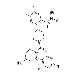 CC(=O)N(C(C)C)[C@@H](C)c1cc(C)c(C)cc1C1CCN(C(=O)[C@@H]2CCN(C(C)(C)C)C[C@H]2c2ccc(F)cc2F)CC1